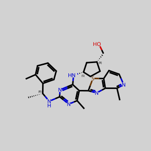 Cc1ccccc1[C@@H](C)Nc1nc(C)c(-c2nc3c(C)nccc3s2)c(N[C@H]2CC[C@@H](CO)C2)n1